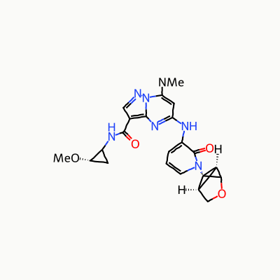 CNc1cc(Nc2cccn([C@]34C5OC[C@@H]3[C@H]54)c2=O)nc2c(C(=O)NC3C[C@@H]3OC)cnn12